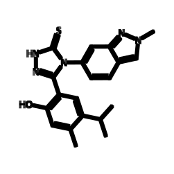 Cc1cc(O)c(-c2n[nH]c(=S)n2-c2ccc3cn(C)nc3c2)cc1C(C)C